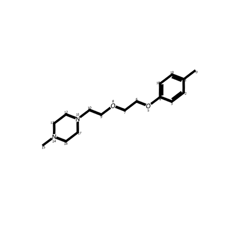 Cc1ccc(OCCOCCN2CCN(C)CC2)cc1